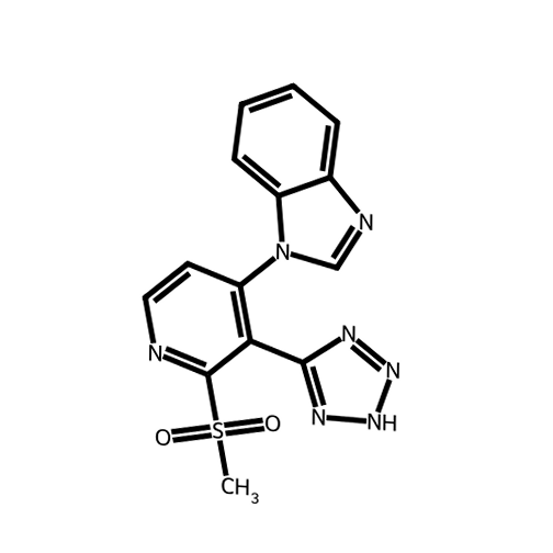 CS(=O)(=O)c1nccc(-n2cnc3ccccc32)c1-c1nn[nH]n1